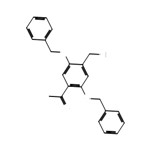 CC(=O)c1cc(OCc2ccccc2)c(CCl)cc1OCc1ccccc1